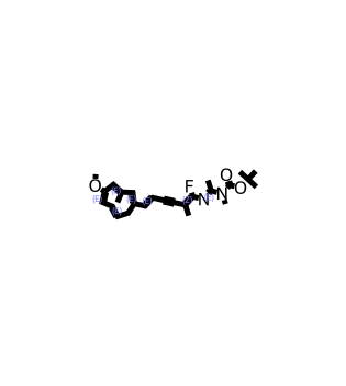 COC1=C/C=C/CC(/C=C/C#C/C(C)=C(F)/N=C(\C)N(C)C(=O)OC(C)(C)C)=C\C(C)=C\1